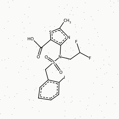 Cc1nc(N(CC(F)F)S(=O)(=O)Cc2ccccc2I)c(C(=O)O)s1